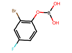 OB(O)Oc1ccc(F)cc1Br